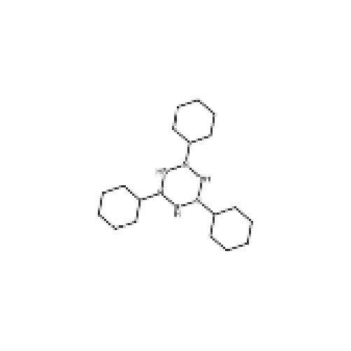 B1N(C2CCCCC2)BN(C2CCCCC2)BN1C1CCCCC1